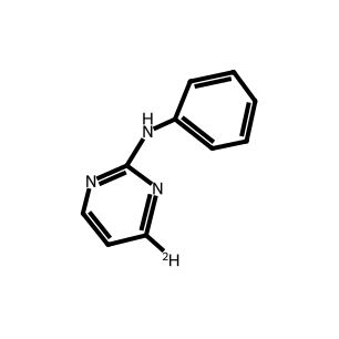 [2H]c1ccnc(Nc2ccccc2)n1